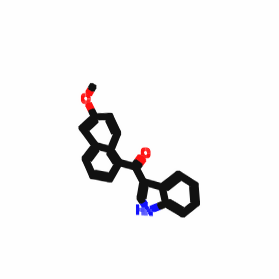 COc1ccc2c(C(=O)c3c[nH]c4ccccc34)cccc2c1